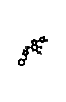 Cc1nc(Nc2cc(CN3CCCCC3)ns2)c2ncc(-c3cn[nH]c3)n2c1Cl